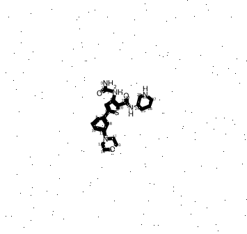 NC(=O)Nc1cc(-c2cccc(N3CCOCC3)c2)sc1C(=O)N[C@H]1CCCNC1